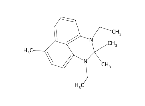 CCN1c2cccc3c(C)ccc(c23)N(CC)C1(C)C